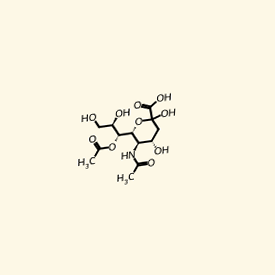 CC(=O)N[C@H]1[C@H]([C@H](OC(C)=O)[C@H](O)CO)OC(O)(C(=O)O)C[C@@H]1O